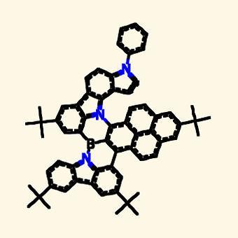 CC(C)(C)c1cc2ccc3c4c5c(c6ccc(c1)c2c36)-n1c2c(cc(C(C)(C)C)cc2c2ccc3c(c6ccccc6n3-c3ccccc3)c21)B5n1c2ccc(C(C)(C)C)cc2c2cc(C(C)(C)C)cc-4c21